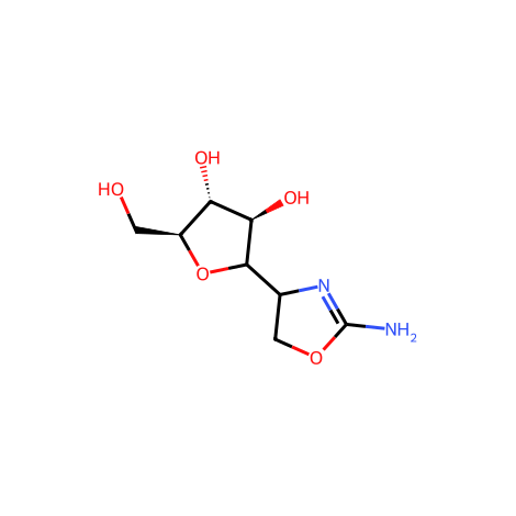 NC1=NC(C2O[C@@H](CO)[C@H](O)[C@H]2O)CO1